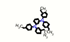 CCc1ccc(N(c2cccc(CC)c2)c2cccc(N(c3ccc(CC)cc3)c3cccc(CC)c3)c2)cc1